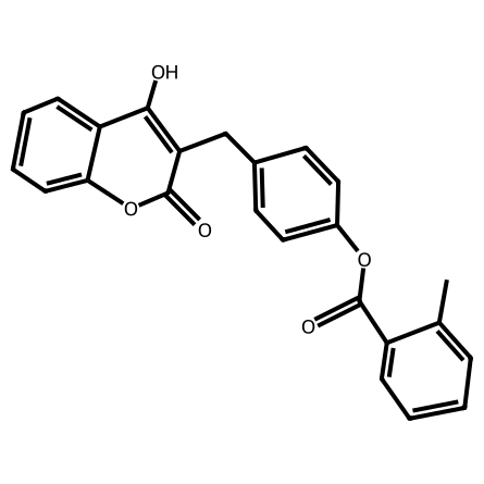 Cc1ccccc1C(=O)Oc1ccc(Cc2c(O)c3ccccc3oc2=O)cc1